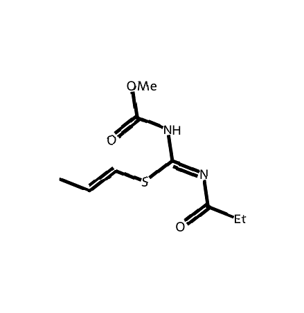 CC=CSC(=NC(=O)CC)NC(=O)OC